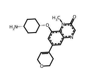 Cn1c(=O)cnc2cc(C3=CCOCC3)cc(O[C@H]3CC[C@@H](N)CC3)c21